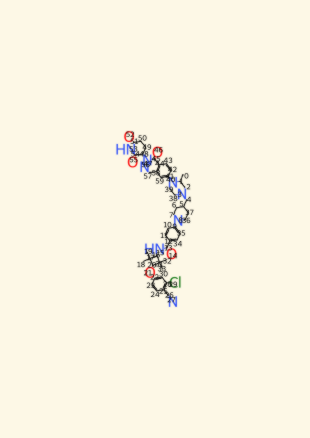 C[C@H]1CN(CC2CCN(c3ccc(C(=O)N[C@H]4C(C)(C)[C@H](Oc5ccc(C#N)c(Cl)c5)C4(C)C)cc3)CC2)CCN1c1ccc2c(=O)n([C@H]3CCC(=O)NC3=O)ncc2c1